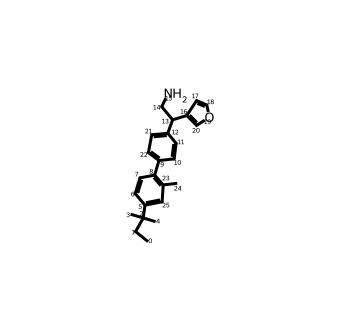 CCC(C)(C)c1ccc(-c2ccc(C(CN)c3ccoc3)cc2)c(C)c1